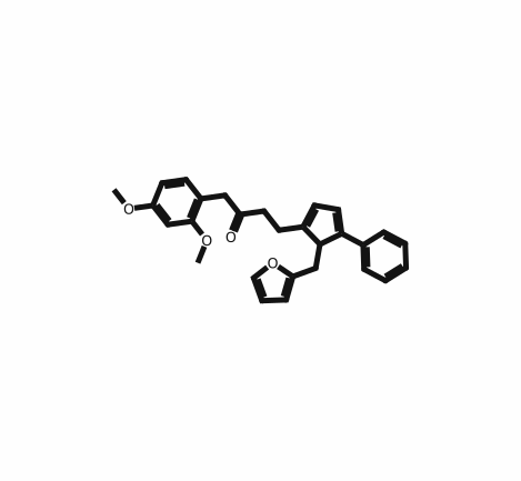 COc1ccc(CC(=O)CCC2=CC=C(c3ccccc3)C2Cc2ccco2)c(OC)c1